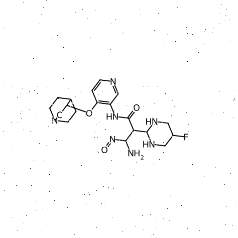 NC(N=O)C(C(=O)Nc1cnccc1OC1CN2CCC1CC2)C1NCC(F)CN1